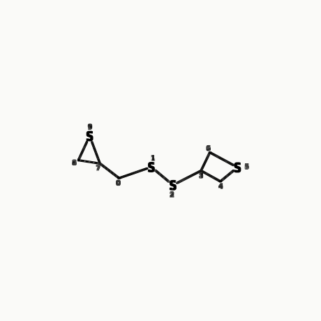 C(SSC1CSC1)C1CS1